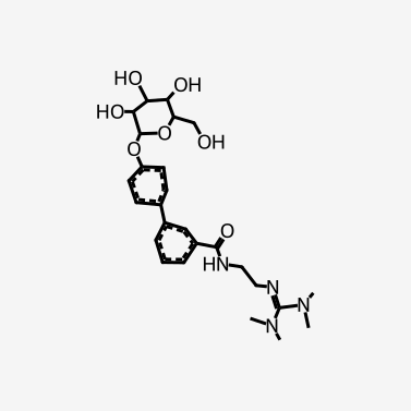 CN(C)C(=NCCNC(=O)c1cccc(-c2ccc(OC3OC(CO)C(O)C(O)C3O)cc2)c1)N(C)C